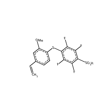 C=Cc1ccc(Sc2c(F)c(F)c(S(=O)(=O)O)c(F)c2F)c(OC)c1